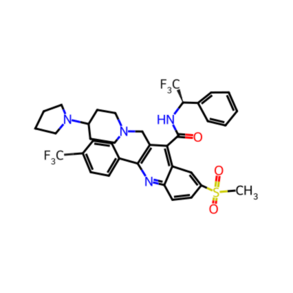 CS(=O)(=O)c1ccc2nc(-c3ccc(C(F)(F)F)cc3)c(CN3CCC(N4CCCC4)CC3)c(C(=O)N[C@H](c3ccccc3)C(F)(F)F)c2c1